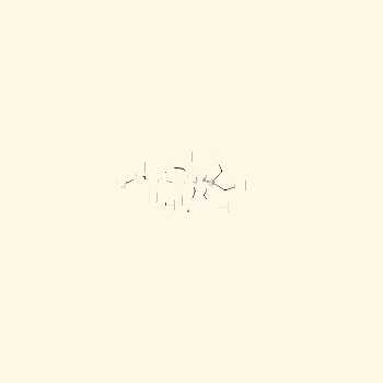 CC[Si](CC)(CC)O[Si](CC)(CC)[SiH2]S[SiH2]O[SiH3]